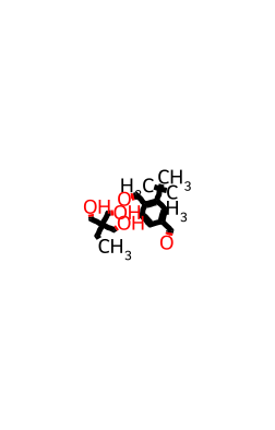 CC(C)(C)c1cc(C=O)ccc1C=O.CCC(CO)(CO)CO